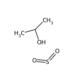 CC(C)O.O=S=O